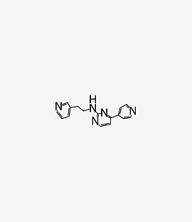 c1cncc(CCNc2nccc(-c3ccncc3)n2)c1